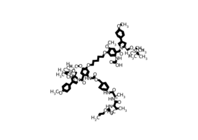 C=CCOC(=O)N[C@H](C(=O)N[C@@H](C)C(=O)Nc1ccc(COC(=O)Nc2cc(OCCCCCOc3cc(NC(=O)O)c(C(=O)N4C=C(c5ccc(OC)cc5)C[C@H]4CO[Si](C)(C)C(C)(C)C)cc3OC)c(OC)cc2C(=O)N2C=C(c3ccc(OC)cc3)C[C@H]2CO[Si](C)(C)C(C)(C)C)cc1)C(C)C